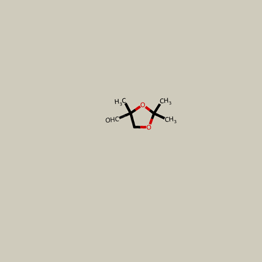 CC1(C=O)COC(C)(C)O1